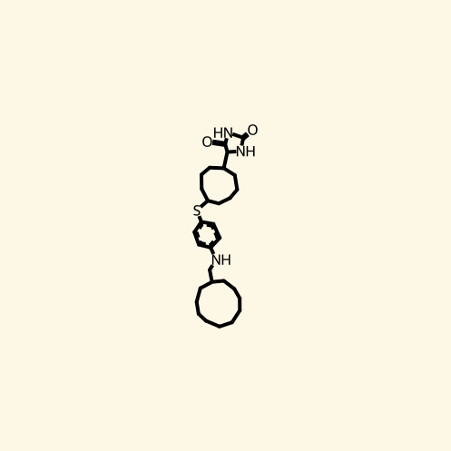 O=C1NC(=O)C(C2CCCCC(Sc3ccc(NCC4CCCCCCCCCC4)cc3)CCC2)N1